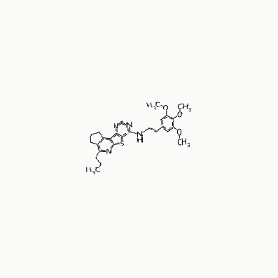 CCCc1nc2sc3c(NCCc4cc(OC)c(OC)c(OC)c4)ncnc3c2c2c1CCC2